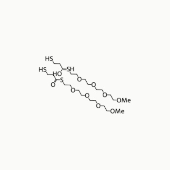 COCCOCCOCCOCCSC(=O)CCS.COCCOCCOCCOCC[SH]=C(O)CCS